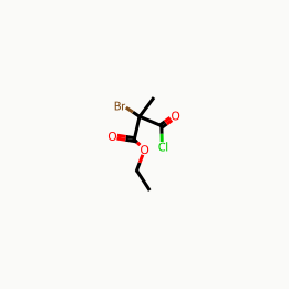 CCOC(=O)C(C)(Br)C(=O)Cl